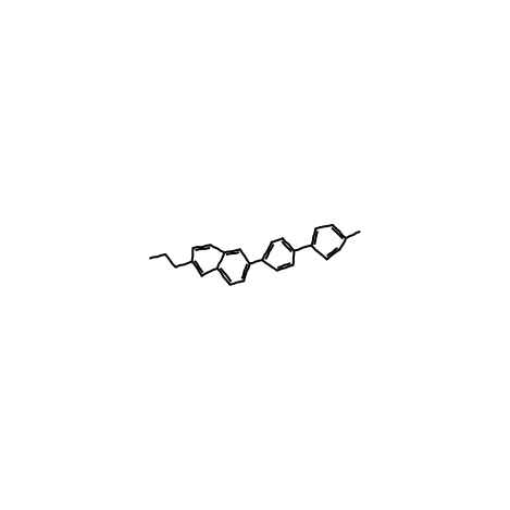 CCCc1ccc2cc(-c3ccc(-c4ccc(C)cc4)cc3)ccc2c1